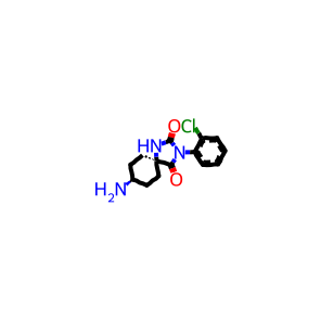 N[C@H]1CC[C@]2(CC1)NC(=O)N(c1ccccc1Cl)C2=O